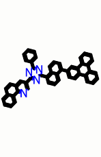 c1ccc(-c2nc(-c3cnc4c(ccc5ccccc54)c3)nc(-c3cccc4c(-c5ccc6c7ccccc7c7ccccc7c6c5)cccc34)n2)cc1